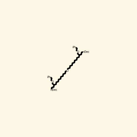 CCCCCCCCCCCCC(CCCCCCCCCCOCCCCCCCCCCC(CCCCCCCCCCCC)COCCC(C)C)COCCC(C)C